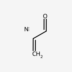 C=CC=O.[N]